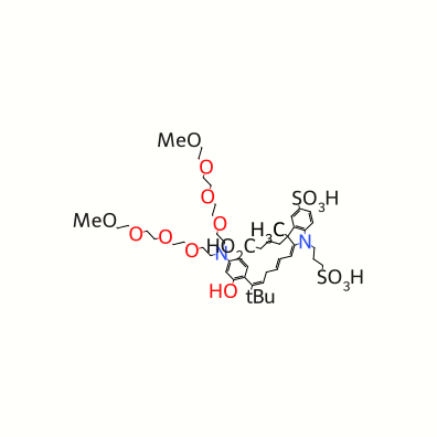 COCCOCCOCCOCCN(CCOCCOCCOCCOC)c1ccc(/C(=C\C/C=C/C=C2/N(CCCS(=O)(=O)O)c3ccc(S(=O)(=O)O)cc3C2(C)CCCC(=O)O)C(C)(C)C)c(O)c1